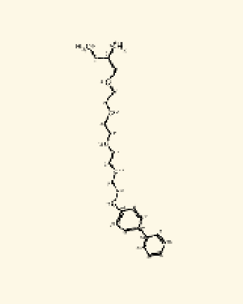 CCC(C)COCCOCCOCCOCCOc1ccc(-c2ccccc2)cc1